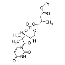 CC(COP1(=O)OC[C@H]2O[C@@H](n3ccc(=O)[nH]c3=O)C(C)(C)[C@@H]2O1)CC(=O)OC(C)C